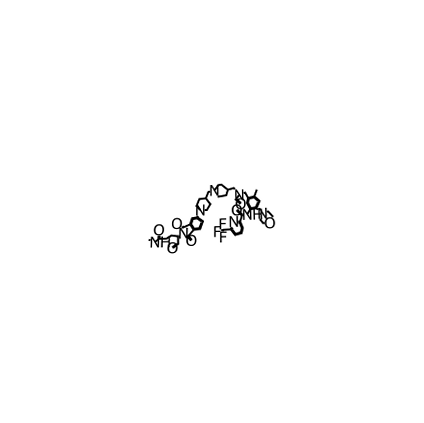 CNC(=O)CCC(C=O)N1C(=O)c2ccc(N3CCC(CN4CCC(CN(C=O)Cc5cc(NC(=O)c6cccc(C(F)(F)F)n6)c(N6CCOCC6)cc5C)CC4)CC3)cc2C1=O